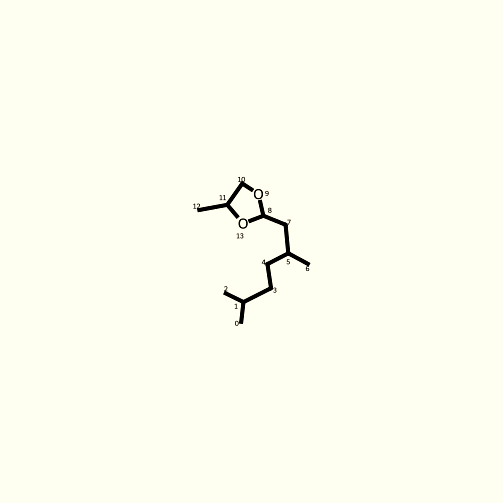 CC(C)CCC(C)CC1OCC(C)O1